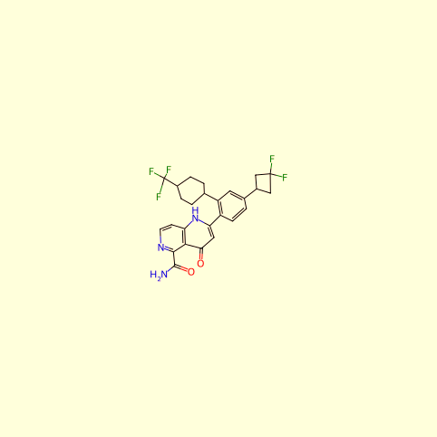 NC(=O)c1nccc2[nH]c(-c3ccc(C4CC(F)(F)C4)cc3C3CCC(C(F)(F)F)CC3)cc(=O)c12